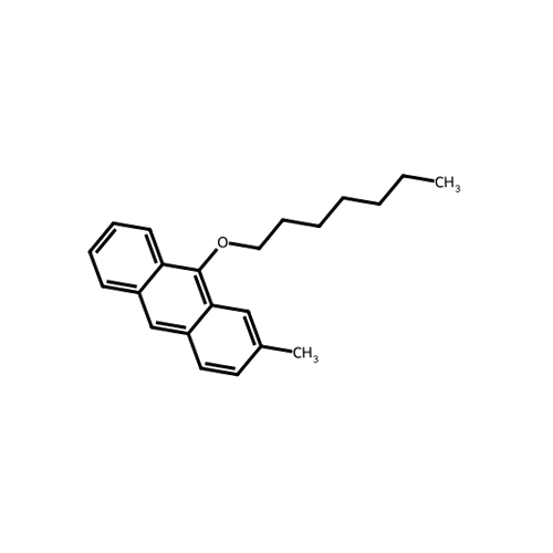 CCCCCCCOc1c2ccccc2cc2ccc(C)cc12